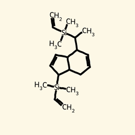 C=C[Si](C)(C)C(C)C1C=CCC2C1C=CC2[Si](C)(C)C=C